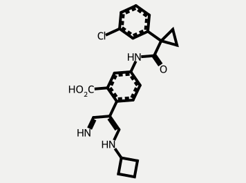 N=C/C(=C\NC1CCC1)c1ccc(NC(=O)C2(c3cccc(Cl)c3)CC2)cc1C(=O)O